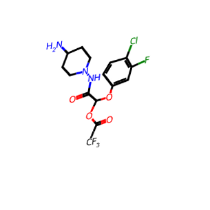 NC1CCN(NC(=O)C(OC(=O)C(F)(F)F)Oc2ccc(Cl)c(F)c2)CC1